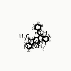 CN1C(=CC2=[N+](C)c3ccccc3C2(C)Cc2ccccc2)C(C)(C)c2ccncc21